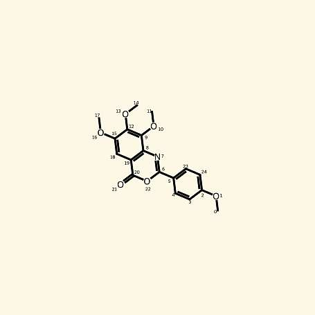 COc1ccc(-c2nc3c(OC)c(OC)c(OC)cc3c(=O)o2)cc1